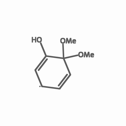 COC1(OC)C=C[CH]C=C1O